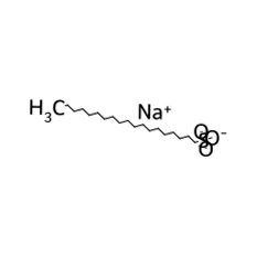 CCCCCCCCCCCCCCCCCCCS(=O)(=O)[O-].[Na+]